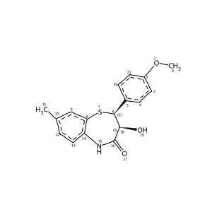 COc1ccc([C@@H]2Sc3cc(C)ccc3NC(=O)[C@@H]2O)cc1